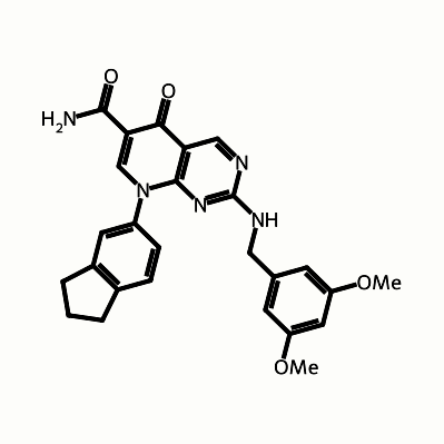 COc1cc(CNc2ncc3c(=O)c(C(N)=O)cn(-c4ccc5c(c4)CCC5)c3n2)cc(OC)c1